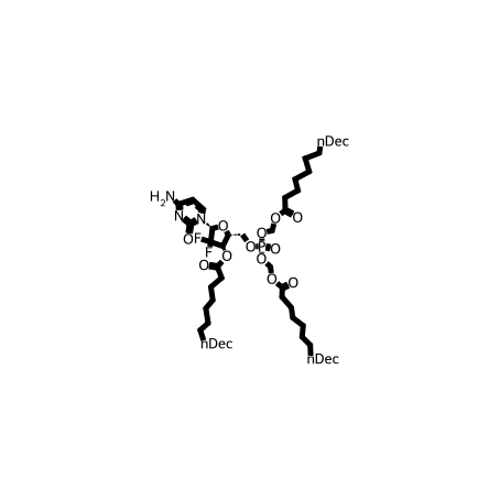 CCCCCCCCCCCCCCCCC(=O)OCOP(=O)(OCOC(=O)CCCCCCCCCCCCCCCC)OC[C@H]1O[C@@H](n2ccc(N)nc2=O)C(F)(F)[C@@H]1OC(=O)CCCCCCCCCCCCCCCC